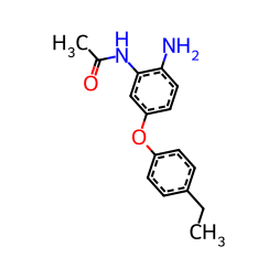 CCc1ccc(Oc2ccc(N)c(NC(C)=O)c2)cc1